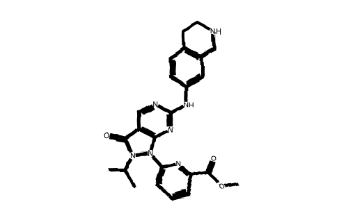 COC(=O)c1cccc(-n2c3nc(Nc4ccc5c(c4)CNCC5)ncc3c(=O)n2C(C)C)n1